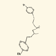 CC(CCc1ccc(Br)cc1)CC(=O)CCc1ccc(Br)cc1